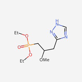 CCOP(=O)(CC(Cc1nc[nH]n1)OC)OCC